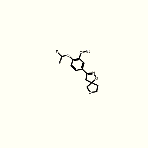 CCOc1cc(C2=NOC3(CCOC3)C2)ccc1OC(F)F